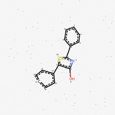 Oc1nc(-c2ccccc2)sc1-c1ccccc1